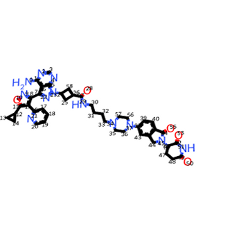 Nc1ncnc2c1c(-c1noc(C3CC3)c1-c1ccccn1)nn2C1CC(C(=O)NCCCCN2CCN(c3ccc4c(c3)CN([C@@H]3CCC(=O)NC3=O)C4=O)CC2)C1